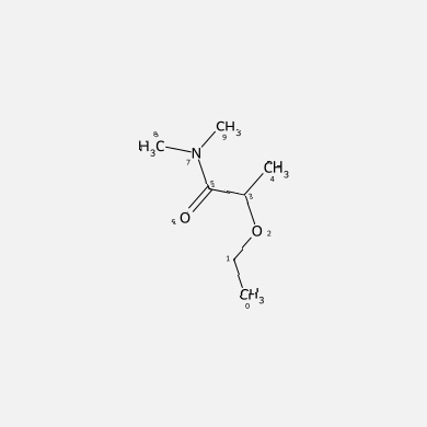 CCOC(C)C(=O)N(C)C